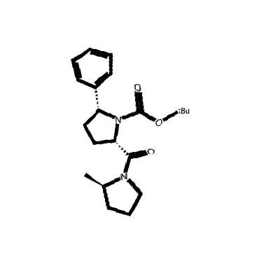 C[C@@H]1CCCN1C(=O)[C@@H]1CC[C@H](c2ccccc2)N1C(=O)OC(C)(C)C